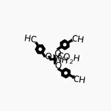 C#Cc1ccc(COCC(COCc2ccc(C#C)cc2)(COCc2ccc(C#C)cc2)NC(=O)O)cc1